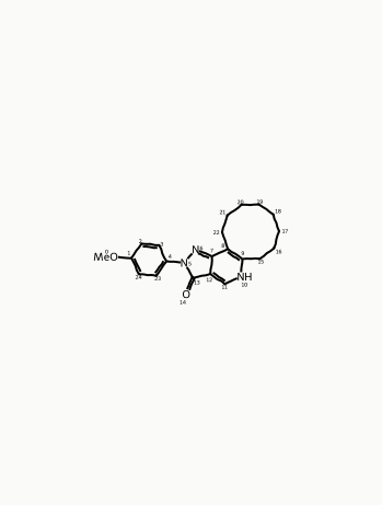 COc1ccc(-n2nc3c4c([nH]cc-3c2=O)CCCCCCCC4)cc1